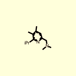 Cc1cc(CN(C)C)nc(C(C)C)c1C